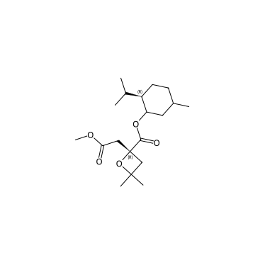 COC(=O)C[C@@]1(C(=O)OC2CC(C)CC[C@@H]2C(C)C)CC(C)(C)O1